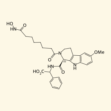 COc1ccc2[nH]c3c(c2c1)CCN(C(=O)CCCCCCC(=O)NO)[C@@H]3C(=O)NC(C(=O)O)c1ccccc1